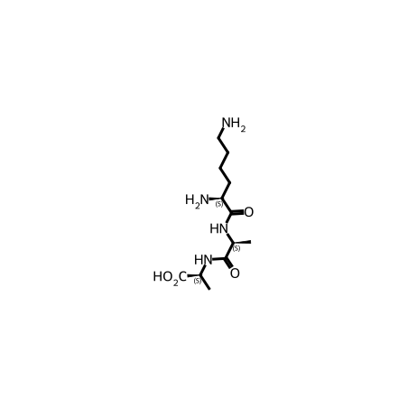 C[C@H](NC(=O)[C@H](C)NC(=O)[C@@H](N)CCCCN)C(=O)O